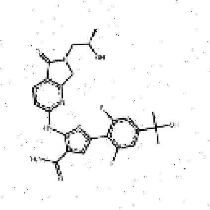 C[C@@H](O)CN1Cc2nc(Nc3sc(-c4c(F)cc(C(C)(C)O)cc4F)cc3C(N)=O)ccc2C1=O